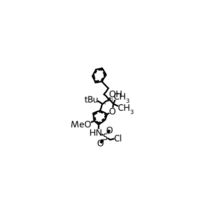 COc1cc2c(cc1NS(=O)(=O)CCl)OC(C)(C)[C@@](O)(CCc1ccccc1)[C]2C(C)(C)C